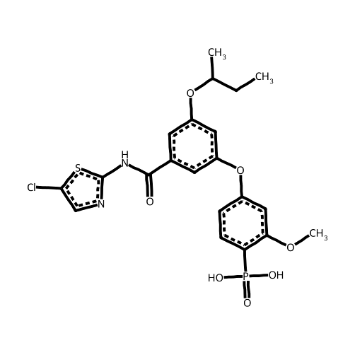 CCC(C)Oc1cc(Oc2ccc(P(=O)(O)O)c(OC)c2)cc(C(=O)Nc2ncc(Cl)s2)c1